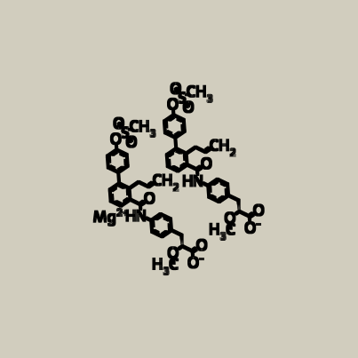 C=CCc1c(C(=O)Nc2ccc(C[C@H](OC)C(=O)[O-])cc2)cccc1-c1ccc(OS(C)(=O)=O)cc1.C=CCc1c(C(=O)Nc2ccc(C[C@H](OC)C(=O)[O-])cc2)cccc1-c1ccc(OS(C)(=O)=O)cc1.[Mg+2]